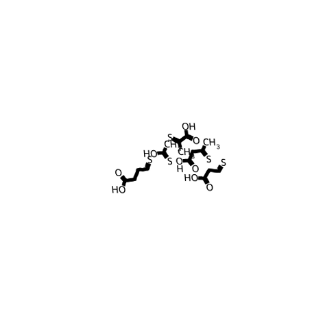 CC(=S)C(=O)O.CC(=S)CC(=O)O.CC(O)=S.O=C(O)CC=S.O=C(O)CCC=S